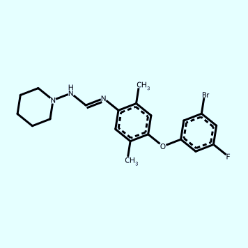 Cc1cc(Oc2cc(F)cc(Br)c2)c(C)cc1/N=C/NN1CCCCC1